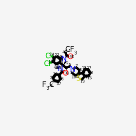 CN(C[C@](CCN1CCC2(CC1)SCc1ccccc12)(c1ccc(Cl)c(Cl)c1)N(C)C(=O)c1ccc(C(F)(F)F)cc1)C(=O)CC(F)(F)F